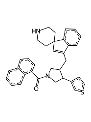 O=C(c1cccc2ccccc12)N1CC(CC2=CC3(CCNCC3)c3ccccc32)C(c2ccsc2)C1